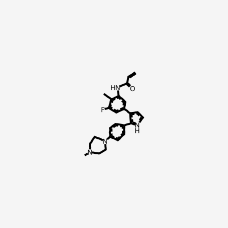 C=CC(=O)Nc1cc(-c2cc[nH]c2-c2ccc(N3CCN(C)CC3)cc2)cc(F)c1C